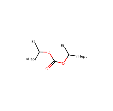 CCCCCCCC(CC)OC(=O)OC(CC)CCCCCCC